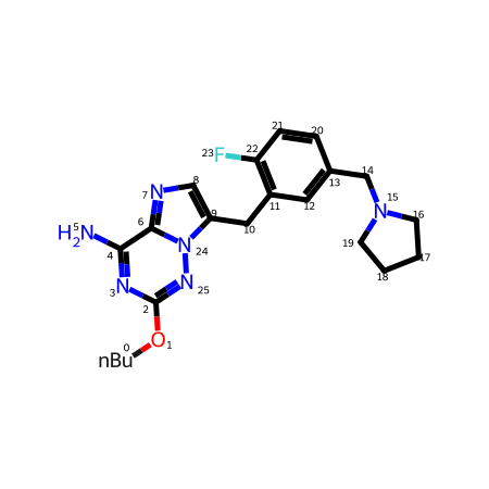 CCCCOc1nc(N)c2ncc(Cc3cc(CN4CCCC4)ccc3F)n2n1